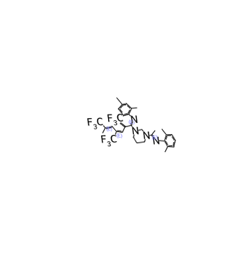 C=C(/C=C(\C=C(/C)C(F)(F)F)C(F)(F)F)/C(=N\c1c(C)cc(C)cc1C(F)(F)F)N1CCCN(/C(C)=N/c2c(C)cccc2C)C1